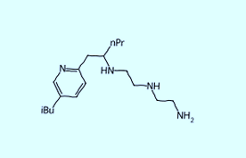 CCCC(Cc1ccc(C(C)CC)cn1)NCCNCCN